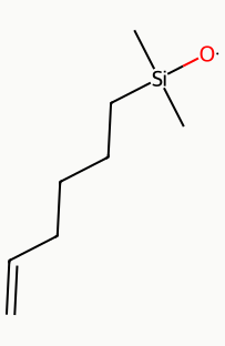 C=CCCCC[Si](C)(C)[O]